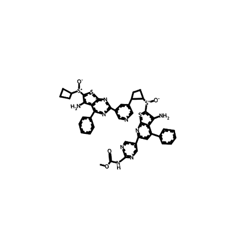 COC(=O)Nc1ncc(-c2cc(-c3ccccc3)c3c(N)c([S+]([O-])C4CCC4c4cncc(-c5nc(-c6ccccc6)c6c(N)c([S+]([O-])C7CCC7)sc6n5)c4)sc3n2)cn1